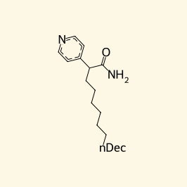 CCCCCCCCCCCCCCCCC(C(N)=O)c1ccncc1